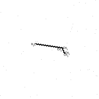 C=CCCCCCCCCCCCCCCCCCCC(=C)CCC=C(C)CCC=C(C)C